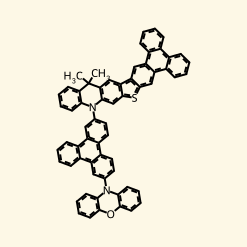 CC1(C)c2ccccc2N(c2ccc3c4ccc(N5c6ccccc6Oc6ccccc65)cc4c4ccccc4c3c2)c2cc3sc4cc5c6ccccc6c6ccccc6c5cc4c3cc21